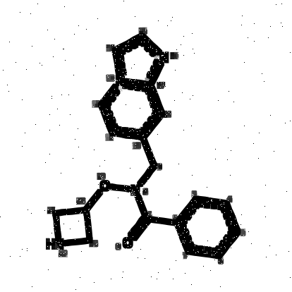 O=C(c1ccccc1)N(Cc1ccn2ccnc2c1)OC1CNC1